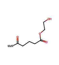 CNC(=O)CCCC(=O)OCCO